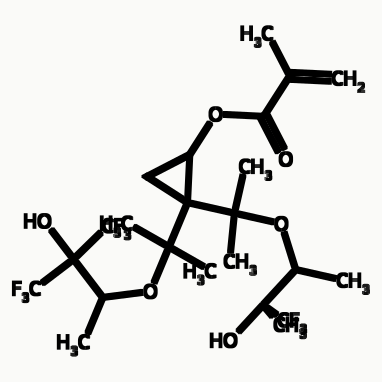 C=C(C)C(=O)OC1CC1(C(C)(C)OC(C)C(C)(O)C(F)(F)F)C(C)(C)OC(C)C(O)(C(F)(F)F)C(F)(F)F